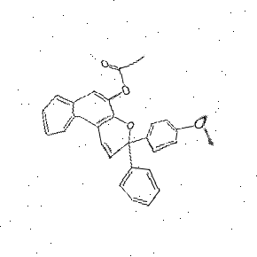 COc1ccc(C2(c3ccccc3)C=Cc3c(c(OC(C)=O)cc4ccccc34)O2)cc1